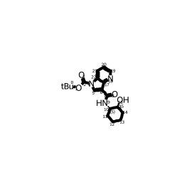 CC(C)(C)OC(=O)n1cc(C(=O)N[C@H]2CCCC[C@@H]2O)c2ncccc21